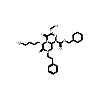 CC(C)C[C@H]1ON(C(=O)OCC2CCCCC2)C2CN(CCc3ccccc3)C(=O)[C@H](CCCCN)N2C1=O